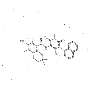 Cc1c(O)c(C)c(C(=O)Nc2c(N)n(-c3cccc4ccccc34)c(=O)n(C)c2=O)c2c1CCC(C)(C)O2